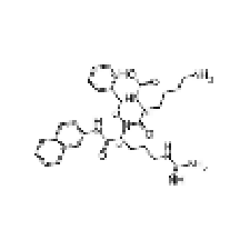 N=C(N)NCCC[C@@H](C(=O)Nc1ccc2ccccc2c1)N(OCc1ccccc1)C(=O)[C@H](CCCCN)NC(=O)O